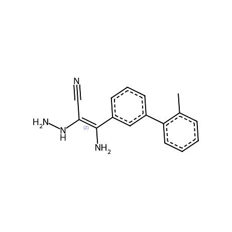 Cc1ccccc1-c1cccc(/C(N)=C(\C#N)NN)c1